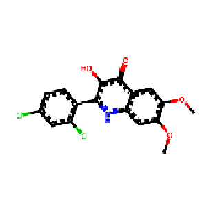 COc1cc2[nH]c(-c3ccc(Cl)cc3Cl)c(O)c(=O)c2cc1OC